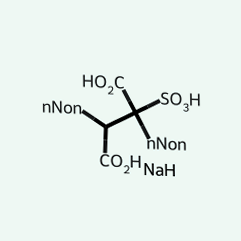 CCCCCCCCCC(C(=O)O)C(CCCCCCCCC)(C(=O)O)S(=O)(=O)O.[NaH]